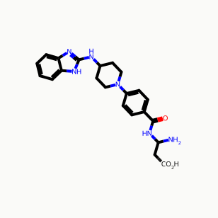 NC(CC(=O)O)NC(=O)c1ccc(N2CCC(Nc3nc4ccccc4[nH]3)CC2)cc1